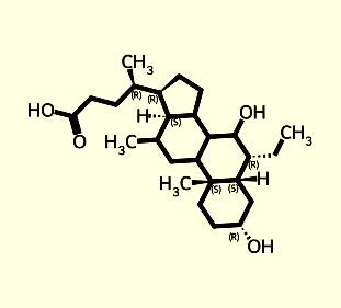 CC[C@H]1C(O)C2C3CC[C@H]([C@H](C)CCC(=O)O)[C@@H]3C(C)CC2[C@@]2(C)CC[C@@H](O)C[C@@H]12